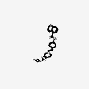 O=C(NC1CCC(CCN2CCc3sc(OC4CC(F)C4)nc3C2)CC1)c1cccc2ncccc12